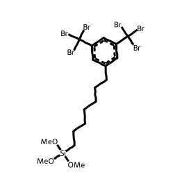 CO[Si](CCCCCCCc1cc(C(Br)(Br)Br)cc(C(Br)(Br)Br)c1)(OC)OC